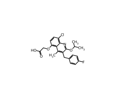 Cc1c(Cc2ccc(F)cc2)c(OC(C)C)nc2c(Cl)ccc(OCC(=O)O)c12